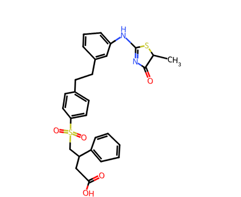 CC1SC(Nc2cccc(CCc3ccc(S(=O)(=O)CC(CC(=O)O)c4ccccc4)cc3)c2)=NC1=O